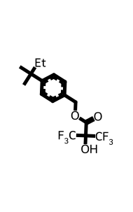 CCC(C)(C)c1ccc(COC(=O)C(O)(C(F)(F)F)C(F)(F)F)cc1